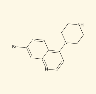 Brc1ccc2c(N3CCNCC3)ccnc2c1